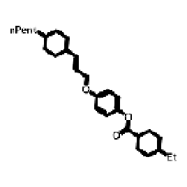 CCCCCC1CCC(/C=C/COc2ccc(OC(=O)C3CCC(CC)CC3)cc2)CC1